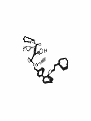 O=C(NCc1ccc(-c2ccccc2OCCC2CCCCC2)cc1)[C@H](O)[C@@H](O)C(=O)N1CCCC1